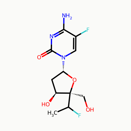 CC(F)[C@]1(CO)O[C@@H](n2cc(F)c(N)nc2=O)C[C@@H]1O